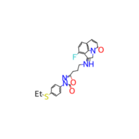 CCSc1ccc(-n2nc(CCCN[C@@H]3Cn4c(=O)ccc5ccc(F)c3c54)oc2=O)cc1